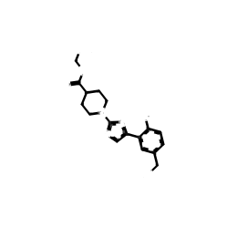 CCOC(=O)C1CCN(c2nc(-c3cc(CC)ccc3O)cs2)CC1